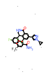 NC(=O)c1cc(C(F)(F)F)cc(F)c1-c1cc(-c2cnn(C3CC3)c2)cc2c1C(c1cc(F)ccc1Cl)CNC2=O